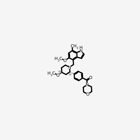 COc1cc(C)c2[nH]ccc2c1CN1CC[C@H](OC)C[C@H]1c1ccc(C(=O)N2CCOCC2)cc1